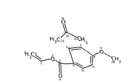 C=COC(=O)c1ccc(OC)cc1.CC(C)=O